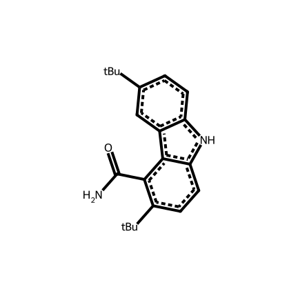 CC(C)(C)c1ccc2[nH]c3ccc(C(C)(C)C)c(C(N)=O)c3c2c1